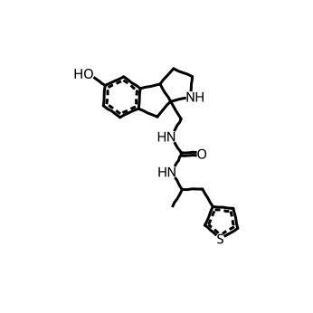 CC(Cc1ccsc1)NC(=O)NCC12Cc3ccc(O)cc3C1CCN2